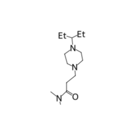 CCC(CC)N1CCN(CCC(=O)N(C)C)CC1